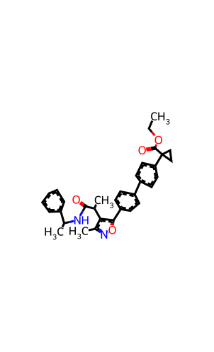 CCOC(=O)C1(c2ccc(-c3ccc(-c4onc(C)c4C(C)C(=O)NC(C)c4ccccc4)cc3)cc2)CC1